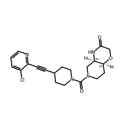 O=C1CO[C@H]2CCN(C(=O)N3CCC(C#Cc4ncccc4Cl)CC3)C[C@H]2N1